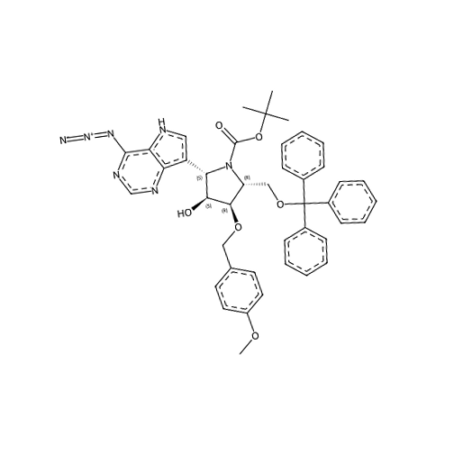 COc1ccc(CO[C@H]2[C@@H](O)[C@H](c3c[nH]c4c(N=[N+]=[N-])ncnc34)N(C(=O)OC(C)(C)C)[C@@H]2COC(c2ccccc2)(c2ccccc2)c2ccccc2)cc1